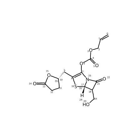 C=CCOC(=O)OC1=C(C[C@@H]2CCC(=O)O2)S[C@H]2C(CO)C(=O)N12